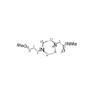 CNC(=O)CN1CCN(CCCOC)CC1